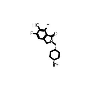 CC(C)[C@H]1CC[C@H](CN2Cc3cc(F)c(O)c(F)c3C2=O)CC1